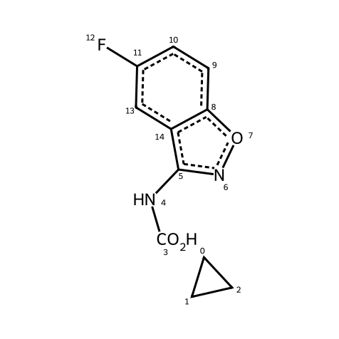 C1CC1.O=C(O)Nc1noc2ccc(F)cc12